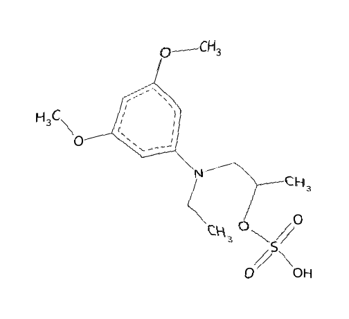 CCN(CC(C)OS(=O)(=O)O)c1cc(OC)cc(OC)c1